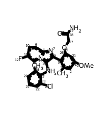 COc1cc(C)c(-c2nc3ccc(F)cn3c2Nc2c(C)cccc2Cl)c(OCC(N)=O)c1